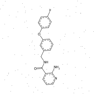 Nc1ncccc1C(=O)NCc1cccc(Oc2ccc(F)cc2)c1